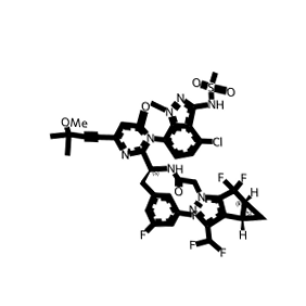 COC(C)(C)C#Cc1cc(=O)n(-c2ccc(Cl)c3c(NS(C)(=O)=O)nn(C)c23)c([C@H](Cc2cc(F)cc(F)c2)NC(=O)Cn2nc(C(F)F)c3c2C(F)(F)[C@@H]2C[C@H]32)n1